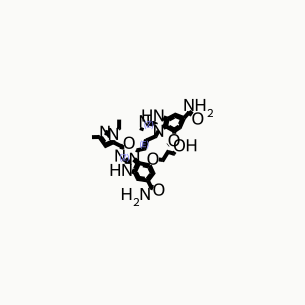 CCn1nc(C)cc1C(=O)/N=c1/[nH]c2cc(C(N)=O)cc(OCCCO)c2n1C/C=C/Cn1/c(=N\C)[nH]c2cc(C(N)=O)cc(OC)c21